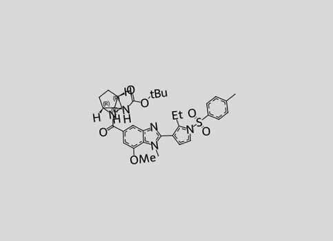 CCc1c(-c2nc3cc(C(=O)N4C[C@H]5CC[C@@H]4[C@@H]5NC(=O)OC(C)(C)C)cc(OC)c3n2C)ccn1S(=O)(=O)c1ccc(C)cc1